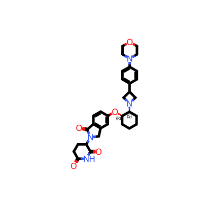 O=C1CCC(N2Cc3cc(O[C@@H]4CCCC[C@@H]4N4CC(c5ccc(N6CCOCC6)cc5)C4)ccc3C2=O)C(=O)N1